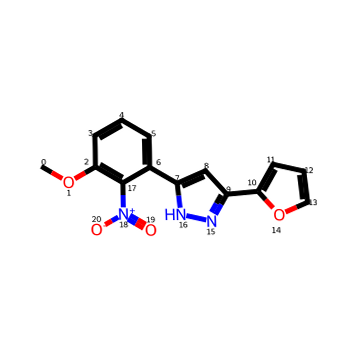 COc1cccc(-c2cc(-c3ccco3)n[nH]2)c1[N+](=O)[O-]